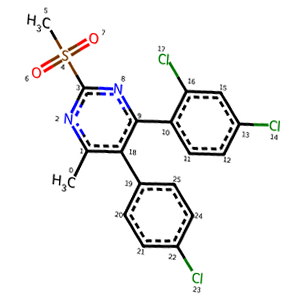 Cc1nc(S(C)(=O)=O)nc(-c2ccc(Cl)cc2Cl)c1-c1ccc(Cl)cc1